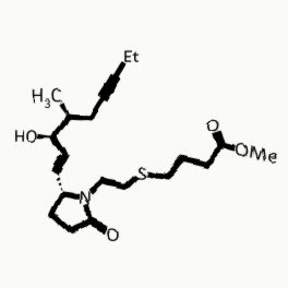 CCC#CC[C@H](C)[C@H](O)/C=C/[C@H]1CCC(=O)N1CCSCCCC(=O)OC